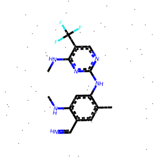 CNc1cc(Nc2ncc(C(F)(F)F)c(NC)n2)c(C)cc1C=N